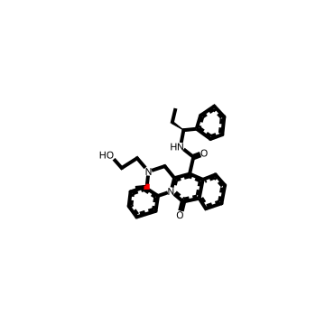 CC[C@H](NC(=O)c1c(CN(CC)CCO)n(-c2ccccc2)c(=O)c2ccccc12)c1ccccc1